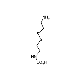 NCCSSCCNC(=O)O